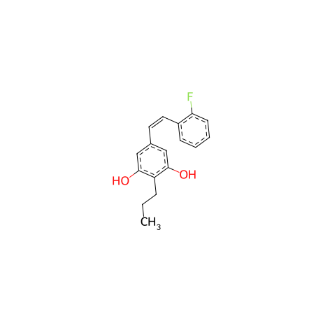 CCCc1c(O)cc(/C=C\c2ccccc2F)cc1O